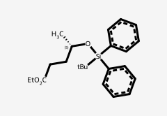 CCOC(=O)CC[C@H](C)O[Si](c1ccccc1)(c1ccccc1)C(C)(C)C